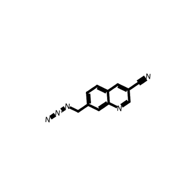 N#Cc1cnc2cc(CN=[N+]=[N-])ccc2c1